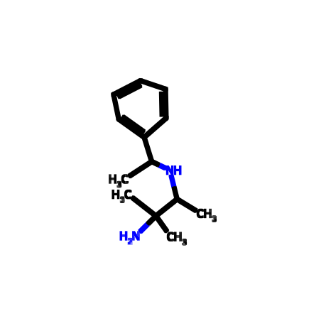 CC(NC(C)C(C)(C)N)c1ccccc1